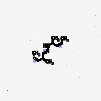 C=C(/C=C\C)/C=N/NC(=C)/C=C\C